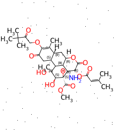 COC(=O)[C@@]12OC[C@]34C([C@@H](O)[C@@H]1O)[C@@]1(C)CC(=O)C(OCC(=O)C(C)(C)C)=C(C)[C@@H]1C[C@H]3OC(=O)[C@H](OC(=O)C=C(C)C)[C@@]24N